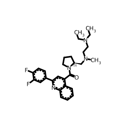 CCN(CC)CCN(C)C[C@@H]1CCCN1C(=O)c1cc(-c2ccc(F)c(F)c2)nc2ccccc12